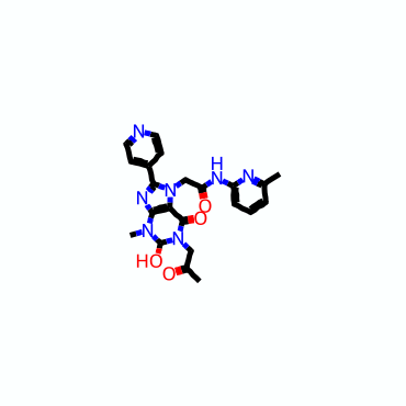 CC(=O)CN1C(=O)c2c(nc(-c3ccncc3)n2CC(=O)Nc2cccc(C)n2)N(C)C1O